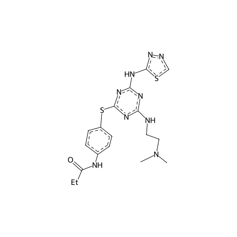 CCC(=O)Nc1ccc(Sc2nc(NCCN(C)C)nc(Nc3nncs3)n2)cc1